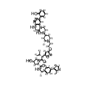 Cc1ncsc1-c1ccc([C@H](C)NC(=O)[C@@H]2C[C@@H](O)CN2C(=O)[C@@H](c2cc(OCCN3CC[C@H](N4CCN5c6cc(-c7ccccc7O)nnc6NC[C@@H]5C4)C[C@H]3C)no2)C(C)C)cc1